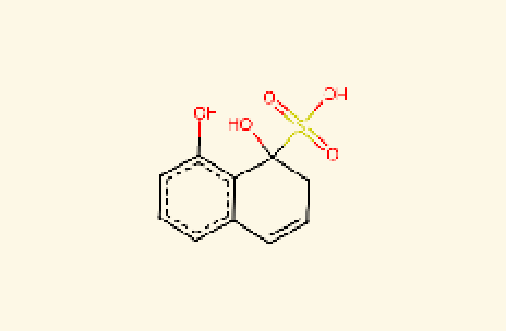 O=S(=O)(O)C1(O)CC=Cc2cccc(O)c21